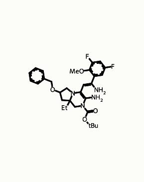 CCC12CC(OCc3ccccc3)CN1C(/C=C(\N)c1cc(F)cc(F)c1OC)=C(N)N(C(=O)OC(C)(C)C)C2